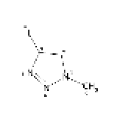 CN1CC(I)N=N1